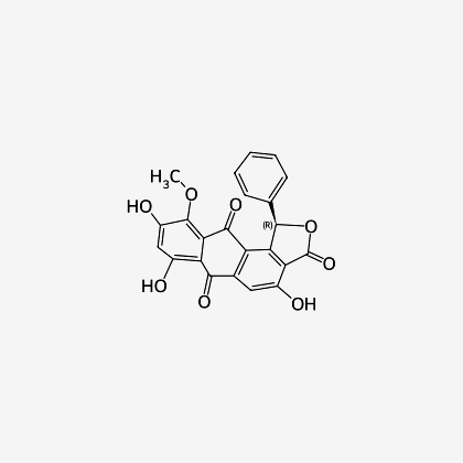 COc1c(O)cc(O)c2c1C(=O)c1c(cc(O)c3c1[C@@H](c1ccccc1)OC3=O)C2=O